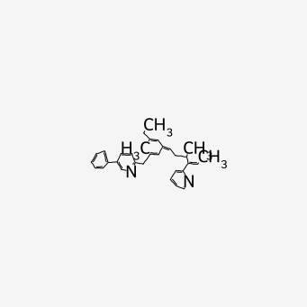 C/C=C(/c1ccccn1)C(C)C/C=C(\C=C\Cc1ccc(-c2ccccc2)cn1)/C=C(\C)CC